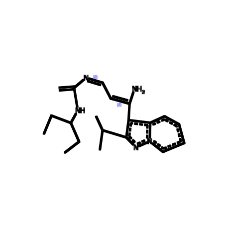 C=C(/N=C\C=C(/N)c1c(C(C)C)nn2ccccc12)NC(CC)CC